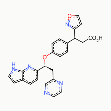 O=C(O)CC(c1ccc(O[C@@H](Cc2cnccn2)c2ccc3cc[nH]c3n2)cc1)c1ccon1